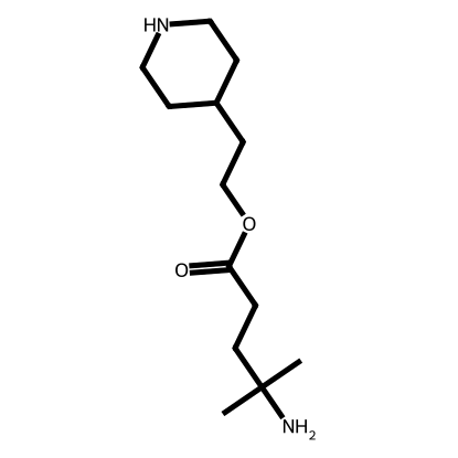 CC(C)(N)CCC(=O)OCCC1CCNCC1